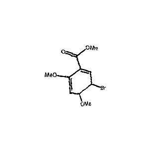 COC(=O)C1=CC(Br)C(OC)C=C1OC